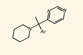 CC(=O)C(C)(c1ccncn1)N1CCCCC1